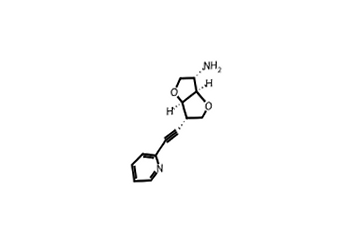 N[C@H]1CO[C@H]2[C@@H]1OC[C@@H]2C#Cc1ccccn1